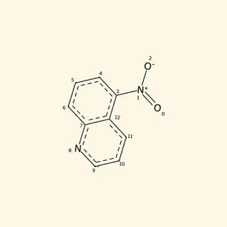 O=[N+]([O-])c1cccc2n[c]ccc12